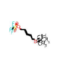 C[Si](C)(C)OCCCCCCOS(=O)(=O)C(F)(F)F